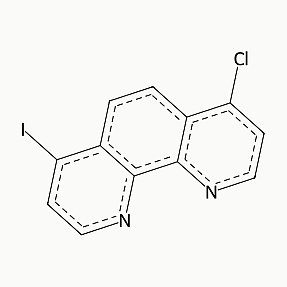 Clc1ccnc2c1ccc1c(I)ccnc12